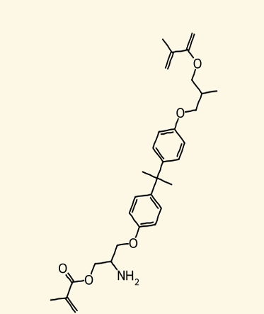 C=C(C)C(=C)OCC(C)COc1ccc(C(C)(C)c2ccc(OCC(N)COC(=O)C(=C)C)cc2)cc1